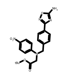 CC(C)(C)OC(=O)CN(Cc1ccc(-c2noc(N)n2)cc1)c1ccc([N+](=O)[O-])cc1